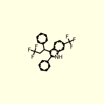 FC(F)(F)CC(c1ccccc1)c1c(-c2ccccc2)[nH]c2cc(C(F)(F)F)ccc12